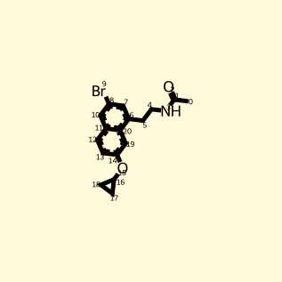 CC(=O)NCCc1cc(Br)cc2ccc(OC3CC3)cc12